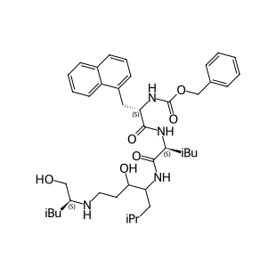 CCC(C)[C@H](NC(=O)[C@H](Cc1cccc2ccccc12)NC(=O)OCc1ccccc1)C(=O)NC(CC(C)C)C(O)CCN[C@H](CO)C(C)CC